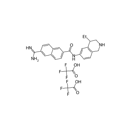 CCC1CNCc2ccc(NC(=O)c3ccc4cc(C(=N)N)ccc4c3)cc21.O=C(O)C(F)(F)F.O=C(O)C(F)(F)F